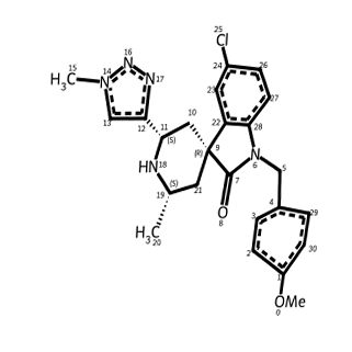 COc1ccc(CN2C(=O)[C@]3(C[C@@H](c4cn(C)nn4)N[C@@H](C)C3)c3cc(Cl)ccc32)cc1